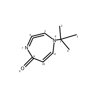 CC(C)(C)N1C=C=NC(=O)C=C1